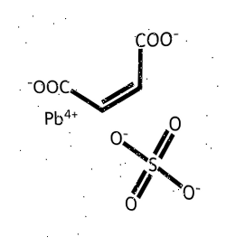 O=C([O-])/C=C\C(=O)[O-].O=S(=O)([O-])[O-].[Pb+4]